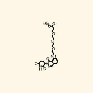 CC(C)(C)OC(=O)CCOCCOCCOCCNc1cccc2cnn(C3CCC(=O)NC3=O)c(=O)c12